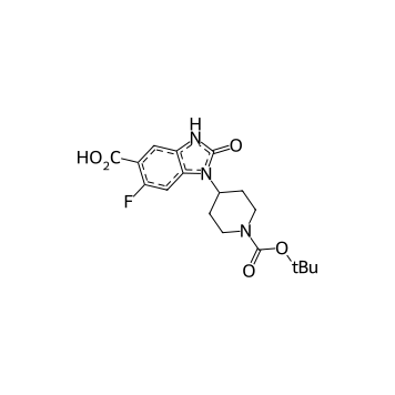 CC(C)(C)OC(=O)N1CCC(n2c(=O)[nH]c3cc(C(=O)O)c(F)cc32)CC1